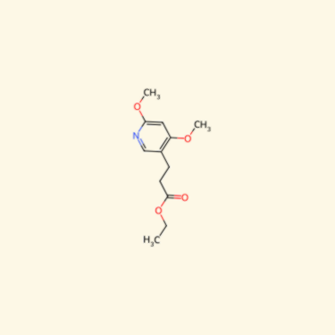 CCOC(=O)CCc1cnc(OC)cc1OC